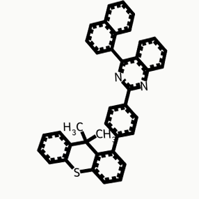 CC1(C)c2ccccc2Sc2cccc(-c3ccc(-c4nc(-c5cccc6ccccc56)c5ccccc5n4)cc3)c21